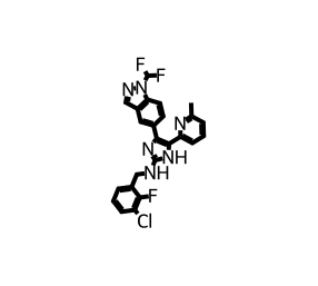 Cc1cccc(-c2[nH]c(NCc3cccc(Cl)c3F)nc2-c2ccc3c(cnn3C(F)F)c2)n1